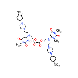 Cn1c(N(CCOC(=O)C(=O)OCCN(CCN2CCN(c3ccc([N+](=O)[O-])cc3)CC2)c2cc(=O)n(C)c(=O)n2C)CCN2CCN(c3ccc([N+](=O)[O-])cc3)CC2)cc(=O)n(C)c1=O